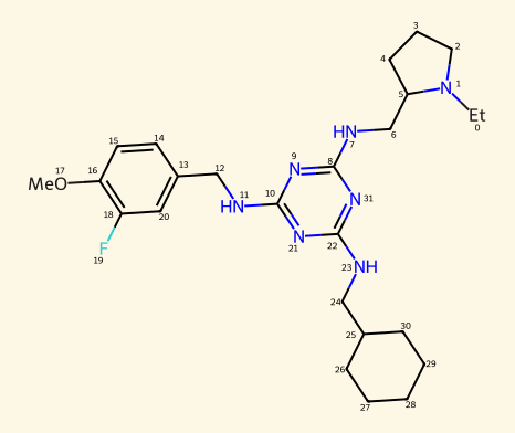 CCN1CCCC1CNc1nc(NCc2ccc(OC)c(F)c2)nc(NCC2CCCCC2)n1